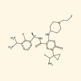 C[C@@H](NC(=O)c1cn(C2(C(P)I)CC2)c(=O)cc1NC1CCN(CCF)CC1)c1cccc(C(P)P)c1F